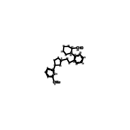 COc1cccc(C2CCN(CCc3cccnc3N3CCCCC3C=O)C2)n1